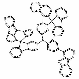 c1ccc2c(c1)-c1ccccc1C21c2cc(N(c3ccc(-c4cccc5c4oc4ccccc45)cc3)c3ccc4c(c3)C3(c5ccccc5-4)c4ccccc4-n4c5ccccc5c5cccc3c54)ccc2-c2c1ccc1ccccc21